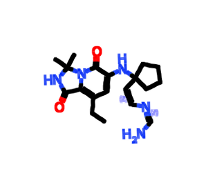 CCc1cc(NC2(/C=C\N=C/N)CCCC2)c(=O)n2c1C(=O)NC2(C)C